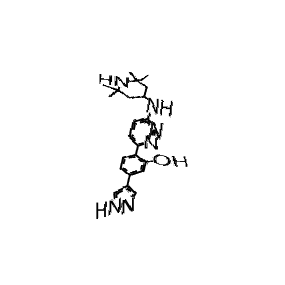 CC1(C)CC(Nc2ccc(-c3ccc(-c4cn[nH]c4)cc3O)nn2)CC(C)(C)N1